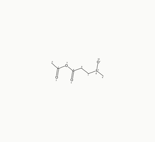 CC(=O)OC(=O)CC[S+](C)[O-]